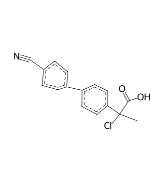 CC(Cl)(C(=O)O)c1ccc(-c2ccc(C#N)cc2)cc1